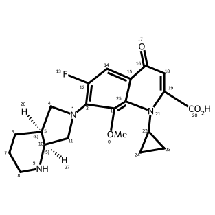 COc1c(N2C[C@@H]3CCCN[C@@H]3C2)c(F)cc2c(=O)cc(C(=O)O)n(C3CC3)c12